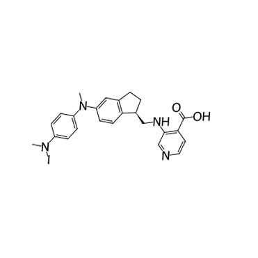 CN(I)c1ccc(N(C)c2ccc3c(c2)CC[C@H]3CNc2cnccc2C(=O)O)cc1